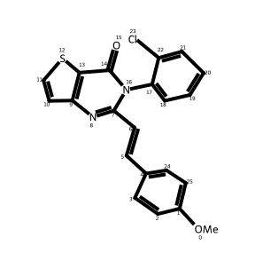 COc1ccc(C=Cc2nc3ccsc3c(=O)n2-c2ccccc2Cl)cc1